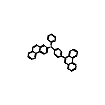 c1ccc(N(c2ccc(-c3cc4ccccc4c4ccccc34)cc2)c2ccc3c(ccc4ccccc43)c2)cc1